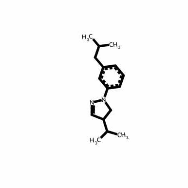 CC(C)Cc1cccc(N2CC(C(C)C)C=N2)c1